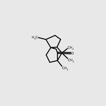 CC1CCC2C13CCC(C)(C(=O)C3)C2(C)C